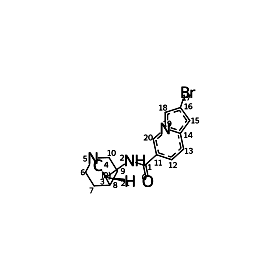 O=C(N[C@H]1CN2CCC1CC2)c1ccc2cc(Br)cn2c1